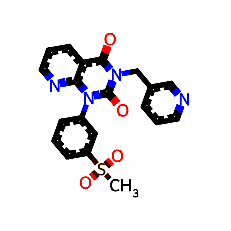 CS(=O)(=O)c1cccc(-n2c(=O)n(Cc3cccnc3)c(=O)c3cccnc32)c1